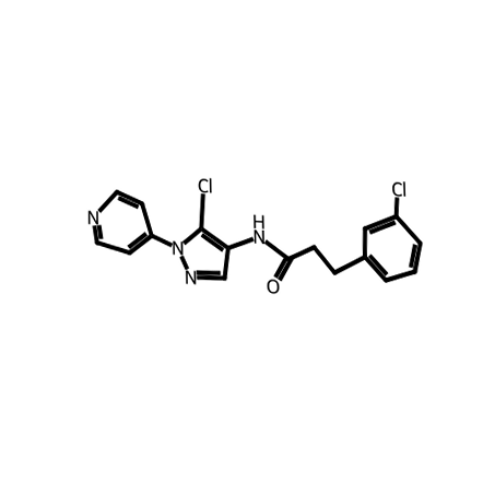 O=C(CCc1cccc(Cl)c1)Nc1cnn(-c2ccncc2)c1Cl